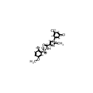 COc1ccc(Br)c(S(=O)(=O)NC(=O)c2cn(-c3cc(Cl)cc(Cl)c3)c(C)n2)c1